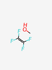 CO.FC(F)=C(F)F